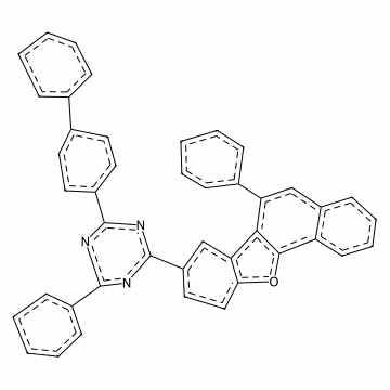 c1ccc(-c2ccc(-c3nc(-c4ccccc4)nc(-c4ccc5oc6c7ccccc7cc(-c7ccccc7)c6c5c4)n3)cc2)cc1